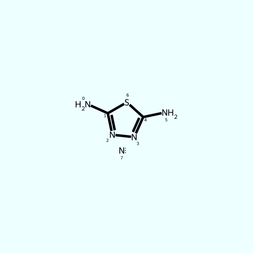 Nc1nnc(N)s1.[N]